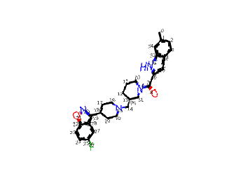 Cc1ccc2cc(C(=O)N3CCC[C@H](CN4CCC(c5noc6ccc(F)cc56)CC4)C3)[nH]c2c1